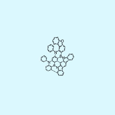 c1ccc(N2c3cccc4c3B3c5c2cc2c6c5-c5c7c(cc8c9cccc-4c9n3c58)c3ccccc3n7B6c3ccc4oc5ccccc5c4c3N2c2ccccc2)cc1